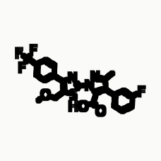 COCc1sc(-n2nc(C)c(-c3cccc(F)c3)c2C(=O)O)nc1-c1ccc(C(F)(F)F)cc1